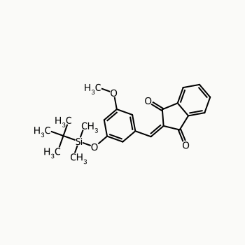 COc1cc(C=C2C(=O)c3ccccc3C2=O)cc(O[Si](C)(C)C(C)(C)C)c1